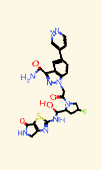 NC(=O)c1nn(CC(=O)N2CC(F)CC2C(O)Nc2nc3c(s2)C(=O)NC3)c2ccc(-c3ccnnc3)cc12